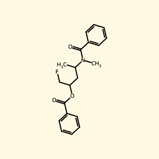 CC(CC(CF)OC(=O)c1ccccc1)N(C)C(=O)c1ccccc1